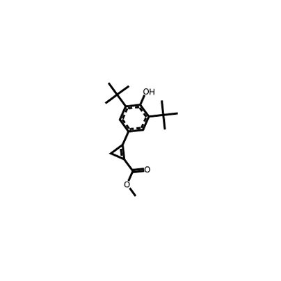 COC(=O)C1=C(c2cc(C(C)(C)C)c(O)c(C(C)(C)C)c2)C1